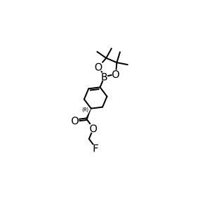 CC1(C)OB(C2=CC[C@H](C(=O)OCF)CC2)OC1(C)C